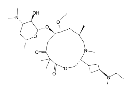 CCN(C)[C@H]1C[C@H]([C@@H]2COC(=O)C(C)(C)C(=O)[C@H](C)[C@@H](O[C@@H]3O[C@H](C)C[C@H](N(C)C)[C@H]3O)[C@H](OC)C[C@@H](C)CN2C)C1